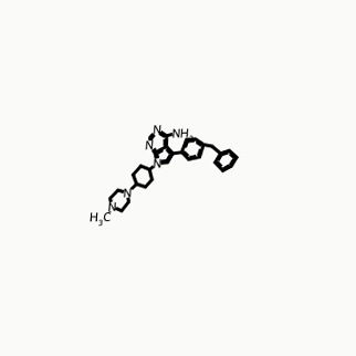 CN1CCN(C2CCC(n3cc(-c4ccc(Cc5ccccc5)cc4)c4c(N)ncnc43)CC2)CC1